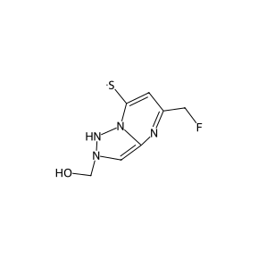 OCN1C=C2N=C(CF)C=C([S])N2N1